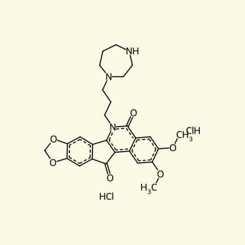 COc1cc2c3c(n(CCCN4CCCNCC4)c(=O)c2cc1OC)-c1cc2c(cc1C3=O)OCO2.Cl.Cl